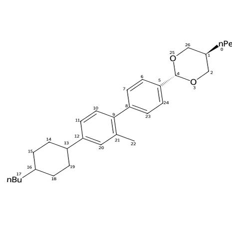 CCCCC[C@H]1CO[C@H](c2ccc(-c3ccc(C4CCC(CCCC)CC4)cc3C)cc2)OC1